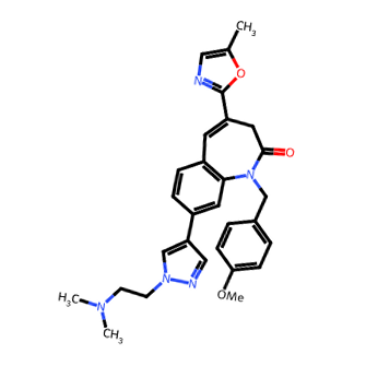 COc1ccc(CN2C(=O)CC(c3ncc(C)o3)=Cc3ccc(-c4cnn(CCN(C)C)c4)cc32)cc1